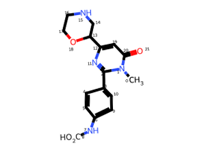 Cn1c(-c2ccc(NC(=O)O)cc2)nc(C2CNCCO2)cc1=O